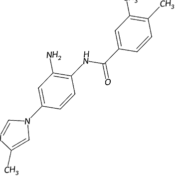 Cc1cn(-c2ccc(NC(=O)c3ccc(C)c(C)c3)c(N)c2)cn1